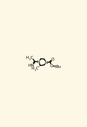 CC(=N)N1CCN(C(=O)OC(C)(C)C)C[C@@H]1C